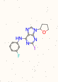 Fc1cccc(Nc2nc(I)nc3c2ncn3C2CCCO2)c1